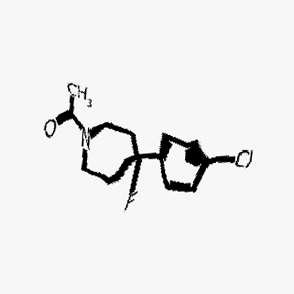 CC(=O)N1CCC(F)(c2ccc(Cl)cc2)CC1